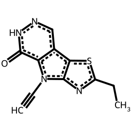 C#Cn1c2nc(CC)sc2c2cn[nH]c(=O)c21